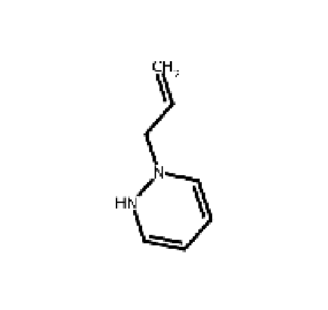 C=CCN1C=CC=CN1